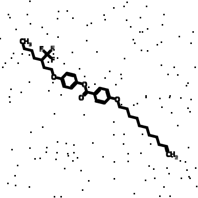 C=CCCCCCCCCCOc1ccc(C(=O)Oc2ccc(OCCC(CCCC)C(F)(F)F)cc2)cc1